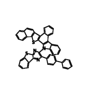 c1ccc(-c2ccc(-c3nc4c(nc3-n3c5ccccc5c5c6ccccc6c6c7ccc8ccccc8c7sc6c53)sc3ccccc34)cc2)cc1